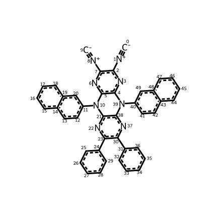 [C-]#[N+]c1nc2c(nc1[N+]#[C-])N(c1ccc3ccccc3c1)c1nc(-c3ccccc3)c(-c3ccccc3)nc1N2c1ccc2ccccc2c1